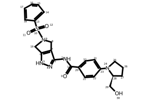 O=C(Nc1n[nH]c2c1CN(S(=O)(=O)c1ccccc1)C2)c1ccc(N2CCC[C@H]2CO)cc1